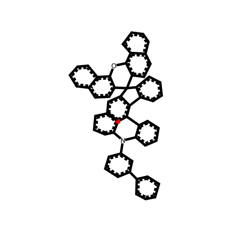 c1ccc(-c2cccc(N(c3ccccc3)c3ccccc3-c3cccc4c3-c3ccccc3C43c4ccc5ccccc5c4Oc4c3ccc3ccccc43)c2)cc1